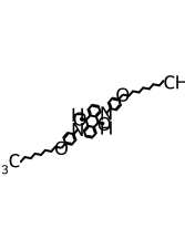 CCCCCCCCCOc1ccc(Nc2cccc3c2C(=O)c2cccc(Nc4ccc(OCCCCCCCCC)cc4)c2C3=O)cc1